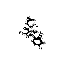 CCc1nc2n(-c3ccc(Cl)cc3Cl)c(Cl)cn2c1C(=O)N(CC1CC1)CC(F)(F)F